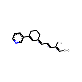 CC(/C=C/C=C1/C=C(c2cccnc2)CCC1)=C\C=O